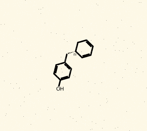 Oc1ccc(C[C@H]2C=CC=CC2)cc1